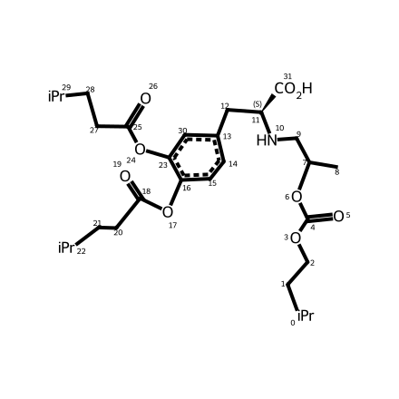 CC(C)CCOC(=O)OC(C)CN[C@@H](Cc1ccc(OC(=O)CCC(C)C)c(OC(=O)CCC(C)C)c1)C(=O)O